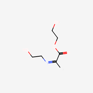 CC(=NCCO)C(=O)OCCO